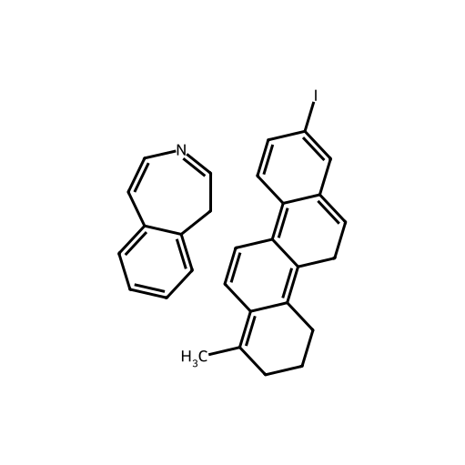 C1=Cc2ccccc2CC=N1.CC1=c2ccc3c(c2CCC1)CC=c1cc(I)ccc1=3